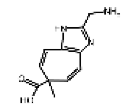 CC1(C(=O)O)C=Cc2nc(CN)[nH]c2C=C1